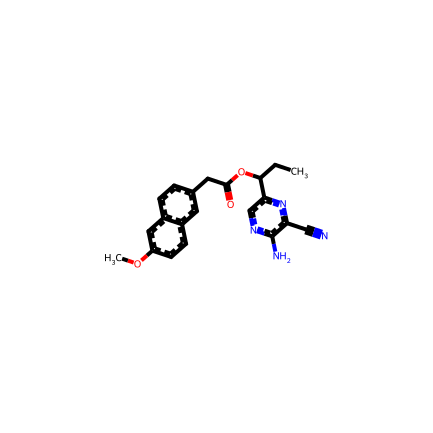 CCC(OC(=O)Cc1ccc2cc(OC)ccc2c1)c1cnc(N)c(C#N)n1